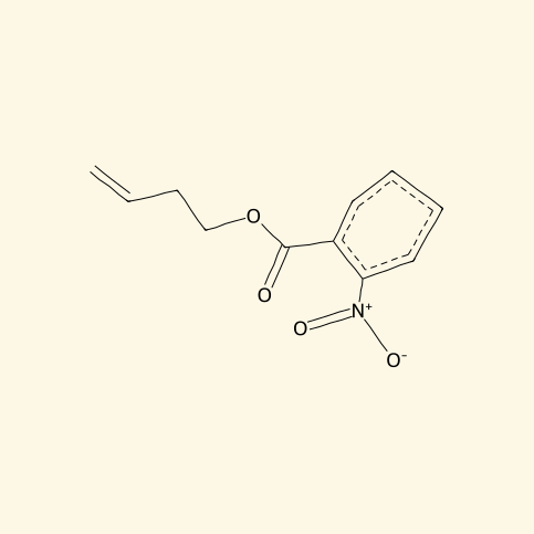 C=CCCOC(=O)c1ccccc1[N+](=O)[O-]